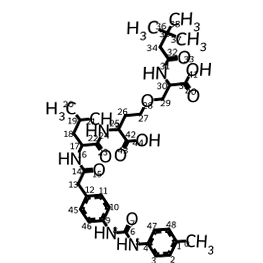 Cc1ccc(NC(=O)Nc2ccc(CC(=O)NC(CC(C)C)C(=O)NC(CCOCC(NC(=O)CC(C)(C)C)C(=O)O)C(=O)O)cc2)cc1